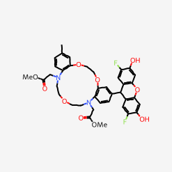 COC(=O)CN1CCOCCN(CC(=O)OC)c2ccc(C3c4cc(F)c(O)cc4Oc4cc(O)c(F)cc43)cc2OCCOc2cc(C)ccc21